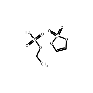 CCOS(=O)(=O)O.O=S1(=O)OC=CO1